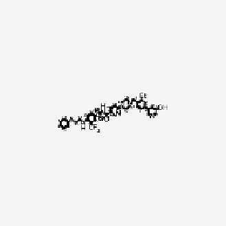 CCc1cc(-c2cncc(O)c2)ccc1CN1CCN(c2ccc(C(=O)NS(=O)(=O)c3ccc(NCCSc4ccccc4)c(C(F)(F)F)c3)nn2)CC1